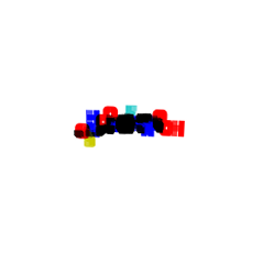 COC(=S)NCC1CN(c2ccc(N3C=NN(C(=O)CO)CC3)c(F)c2)C(=O)O1